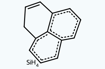 C1=Cc2cccc3cccc(c23)C1.[SiH4]